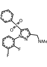 CNCc1cc(S(=O)(=O)c2cccnc2)n(-c2cccc(F)c2F)n1